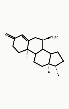 CCCCCCCCCC[C@@H]1CC2=CC(=O)CC[C@]2(C)C2CC[C@@]3(C)C(CC[C@@H]3C)C21